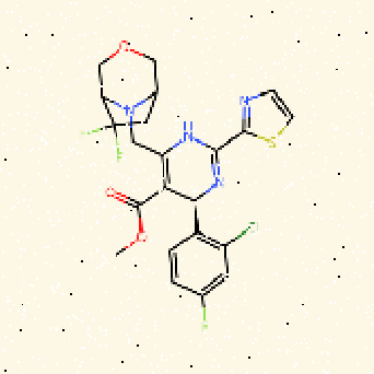 COC(=O)C1=C(CN2C3COCC2C(F)(F)C3)NC(c2nccs2)=N[C@H]1c1ccc(F)cc1Cl